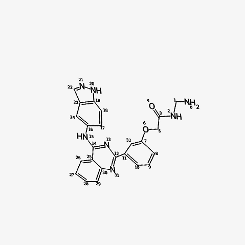 NCNC(=O)COc1cccc(-c2nc(Nc3ccc4[nH]ncc4c3)c3ccccc3n2)c1